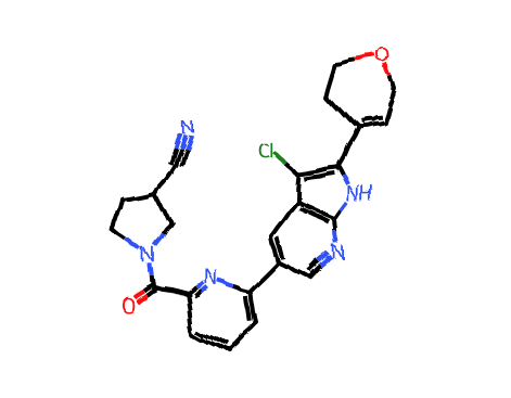 N#CC1CCN(C(=O)c2cccc(-c3cnc4[nH]c(C5=CCOCC5)c(Cl)c4c3)n2)C1